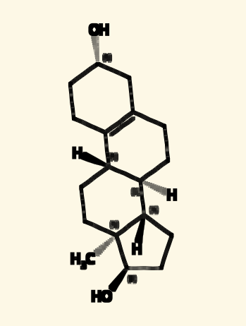 C[C@]12CC[C@@H]3C4=C(CC[C@H]3[C@@H]1CC[C@H]2O)C[C@@H](O)CC4